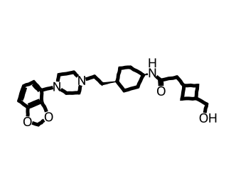 O=C(CC1CC(CO)C1)N[C@H]1CC[C@H](CCN2CCN(c3cccc4c3OCO4)CC2)CC1